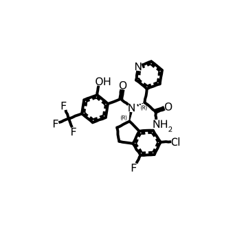 NC(=O)[C@@H](c1cccnc1)N(C(=O)c1ccc(C(F)(F)F)cc1O)[C@@H]1CCc2c(F)cc(Cl)cc21